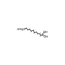 CCCCCCCCCCCCCCCCCB(O)O